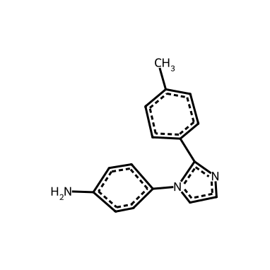 Cc1ccc(-c2nccn2-c2ccc(N)cc2)cc1